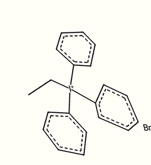 CC[I+](c1ccccc1)(c1ccccc1)c1ccccc1.[Br-]